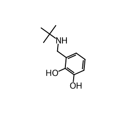 CC(C)(C)NCc1cccc(O)c1O